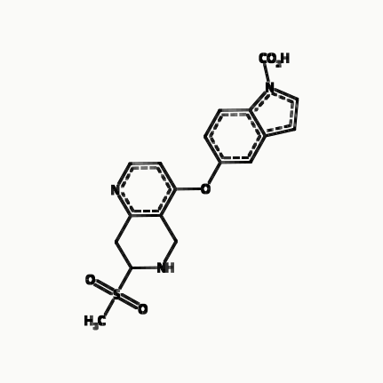 CS(=O)(=O)C1Cc2nccc(Oc3ccc4c(ccn4C(=O)O)c3)c2CN1